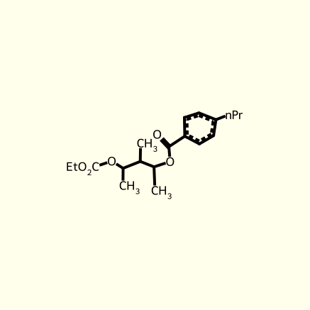 CCCc1ccc(C(=O)OC(C)C(C)C(C)OC(=O)OCC)cc1